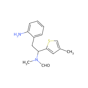 Cc1csc(C(Cc2ccccc2N)N(C)C=O)c1